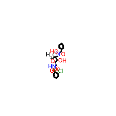 C[C@@]1(CN(O)C(=O)c2ccccc2)CO[C@H](CNS(=O)(=O)c2ccccc2Cl)[C@H]1O